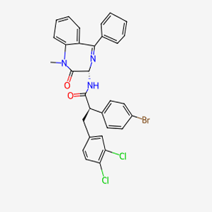 CN1C(=O)[C@@H](NC(=O)[C@H](Cc2ccc(Cl)c(Cl)c2)c2ccc(Br)cc2)N=C(c2ccccc2)c2ccccc21